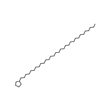 CCCCCCCCCCCCCCCCCCCCCCCCCCCCCCCC1CCCC1